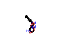 O=C1COCCOCC(=O)N[C@H](C(=O)NCCC(=O)ONC(=O)Cc2ccc(CCCCc3ccccc3)cc2)CCCCN1